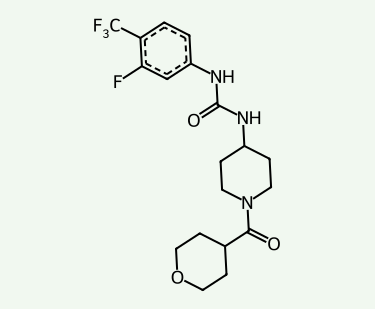 O=C(Nc1ccc(C(F)(F)F)c(F)c1)NC1CCN(C(=O)C2CCOCC2)CC1